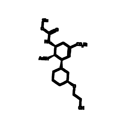 CCOC(=O)C1=C[C@@H](N2CCC[C@H](OCCO)C2)[C@H](NC(C)=O)[C@@H](NC(=O)OC(C)(C)C)C1